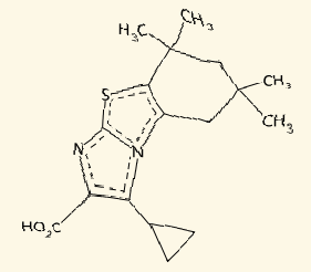 CC1(C)Cc2c(sc3nc(C(=O)O)c(C4CC4)n23)C(C)(C)C1